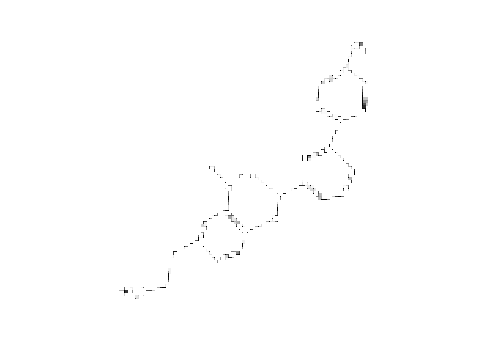 CCCC[C@@H](Oc1ccc(CCC(=O)O)cc1OCC)c1cccc(-c2ccc(C(F)(F)F)cc2)n1